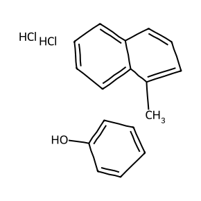 Cc1cccc2ccccc12.Cl.Cl.Oc1ccccc1